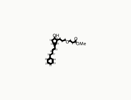 COC(=O)CCOCCCC1C(O)CC2C(C=CCCc3ccccc3)C12